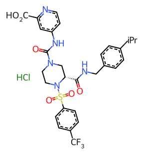 CC(C)c1ccc(CNC(=O)[C@H]2CN(C(=O)Nc3ccnc(C(=O)O)c3)CCN2S(=O)(=O)c2ccc(C(F)(F)F)cc2)cc1.Cl